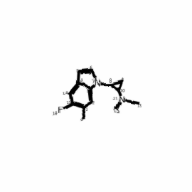 Cc1cc2c(ccn2C2CC2N(C)C)cc1F